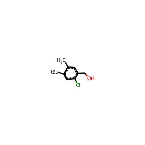 Cc1cc(CO)c(Cl)cc1C(C)(C)C